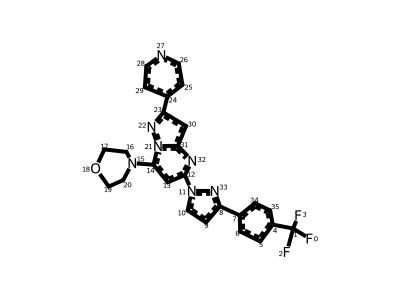 FC(F)(F)c1ccc(-c2ccn(-c3cc(N4CCOCC4)n4nc(-c5ccncc5)cc4n3)n2)cc1